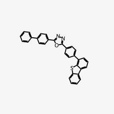 c1ccc(-c2ccc(-c3nnc(-c4ccc(-c5cccc6c5sc5ccccc56)cc4)o3)cc2)cc1